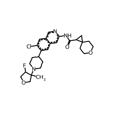 CC1(N2CCC(c3cc4cc(NC(=O)C5CC56CCOCC6)ncc4cc3Cl)CC2)COCC1F